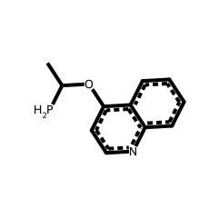 CC(P)Oc1ccnc2ccccc12